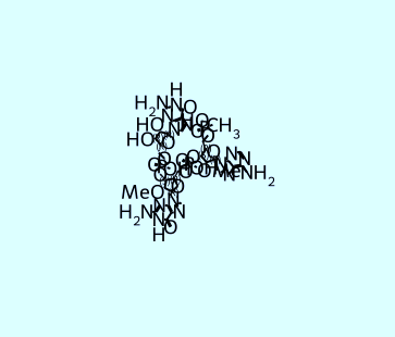 COC1[C@@H](OP(=O)(O)OC[C@H]2O[C@@H](n3cnc4c(=O)[nH]c(N)nc43)C(OC)[C@H]2OP(=O)(O)OC[C@H]2O[C@@H](n3cnc4c(=O)[nH]c(N)nc43)C(O)[C@H]2O)[C@@H](COP(C)(=O)O)O[C@H]1n1cnc2c(N)ncnc21